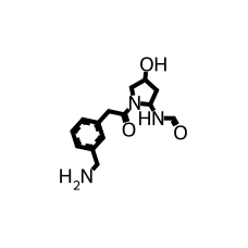 NCc1cccc(CC(=O)N2CC(O)CC2NC=O)c1